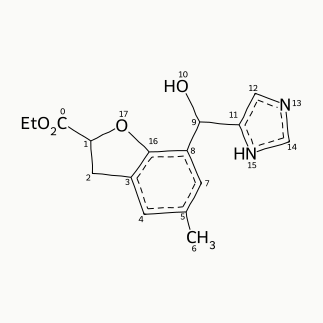 CCOC(=O)C1Cc2cc(C)cc(C(O)c3cnc[nH]3)c2O1